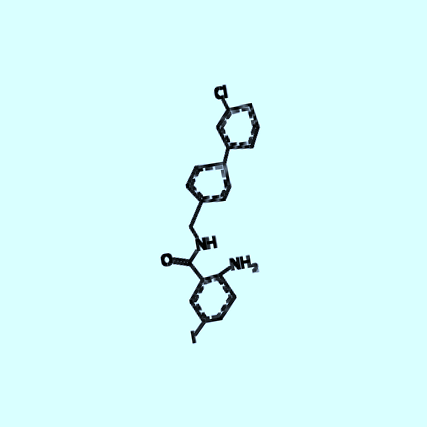 Nc1ccc(I)cc1C(=O)NCc1ccc(-c2cccc(Cl)c2)cc1